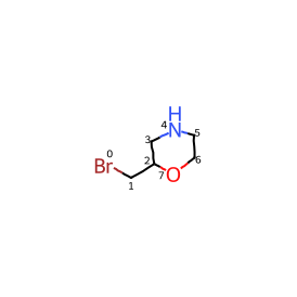 BrCC1CNCCO1